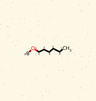 [B]OCCCCCC